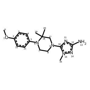 COc1ccc(N2CCN(c3nc(N)nn3C)CC2(C)C)cc1